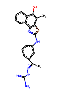 C/C(=N\NC(=N)N)c1cccc(Nc2nc3c(s2)c(C)c(O)c2ccccc23)c1